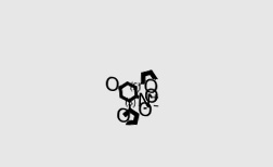 O=C1C[C@H](c2ccco2)C([N+](=O)[O-])[C@@H](c2ccco2)C1